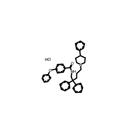 Cl.O=C(NCC(CCCN1CCC(c2ccccc2)CC1)(c1ccccc1)c1ccccc1)c1ccc(Oc2ccccc2)cc1